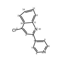 Clc1cc(-c2ccncc2)nc2ccccc12